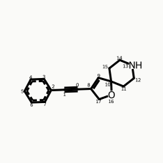 C(#Cc1ccccc1)C1=CC2(CCNCC2)OC1